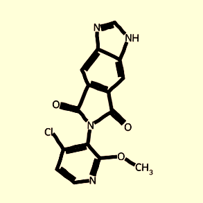 COc1nccc(Cl)c1N1C(=O)c2cc3nc[nH]c3cc2C1=O